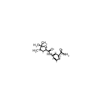 C[C@H]1CC(C(=O)Nc2ccnc(C(N)=O)c2)OC1(C)C